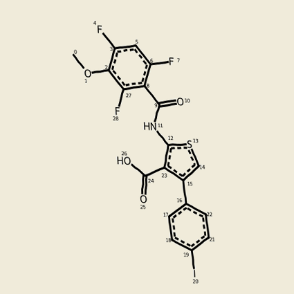 COc1c(F)cc(F)c(C(=O)Nc2scc(-c3ccc(I)cc3)c2C(=O)O)c1F